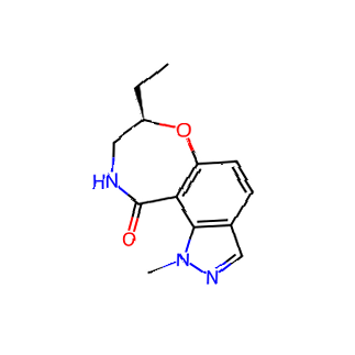 CC[C@@H]1CNC(=O)c2c(ccc3cnn(C)c23)O1